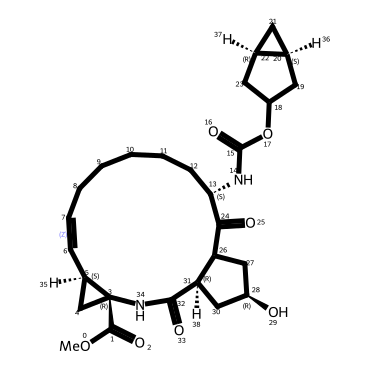 COC(=O)[C@@]12C[C@H]1/C=C\CCCCC[C@H](NC(=O)OC1C[C@@H]3C[C@@H]3C1)C(=O)C1C[C@@H](O)C[C@H]1C(=O)N2